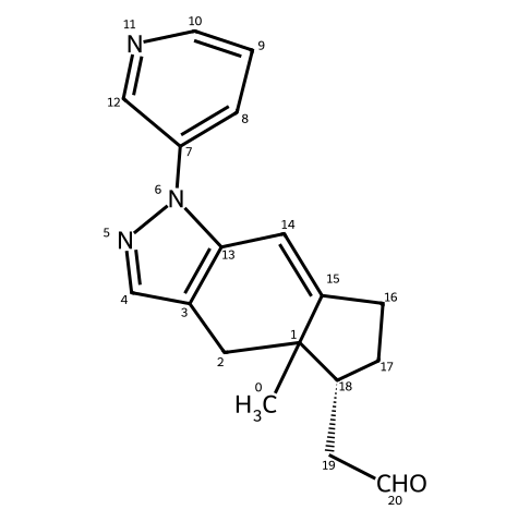 CC12Cc3cnn(-c4cccnc4)c3C=C1CC[C@@H]2CC=O